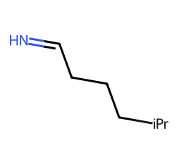 CC(C)CCCC=N